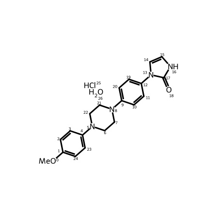 COc1ccc(N2CCN(c3ccc(-n4cc[nH]c4=O)cc3)CC2)cc1.Cl.O